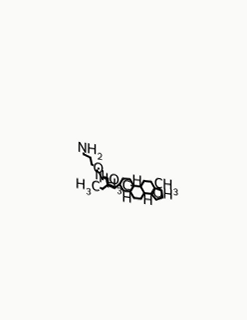 CCC(C=NOCCCN)=C[C@]1(O)CC[C@@]2(C)[C@H](CC[C@@H]3[C@@H]2CC[C@]2(C)CCC[C@]32O)C1